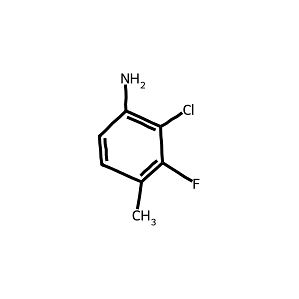 Cc1ccc(N)c(Cl)c1F